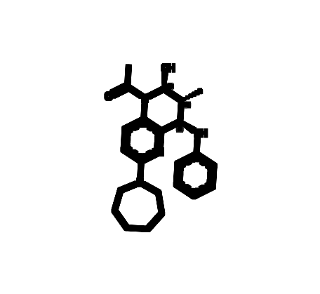 CC(=O)N1c2ccc(N3CCCCCC3)nc2[C@H](Nc2ccccc2)[C@@H](C)[C@@H]1O